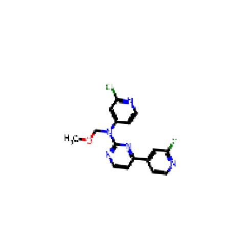 COCN(c1ccnc(Cl)c1)c1nccc(-c2ccnc(Cl)c2)n1